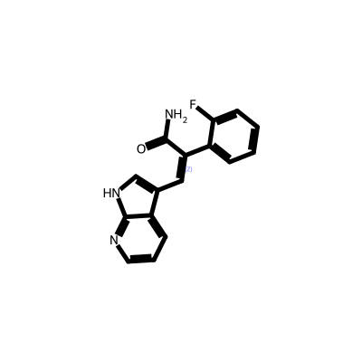 NC(=O)/C(=C\c1c[nH]c2ncccc12)c1ccccc1F